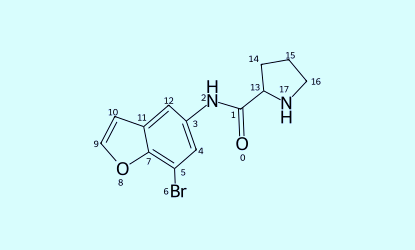 O=C(Nc1cc(Br)c2occc2c1)C1CCCN1